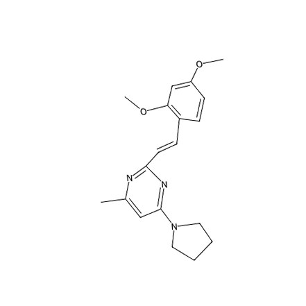 COc1ccc(/C=C/c2nc(C)cc(N3CCCC3)n2)c(OC)c1